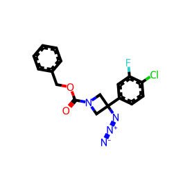 [N-]=[N+]=NC1(c2ccc(Cl)c(F)c2)CN(C(=O)OCc2ccccc2)C1